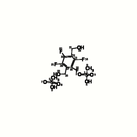 CS(=O)(=O)O.CS(=O)(=O)O.OCc1c(F)c(F)c(CO)c(F)c1F